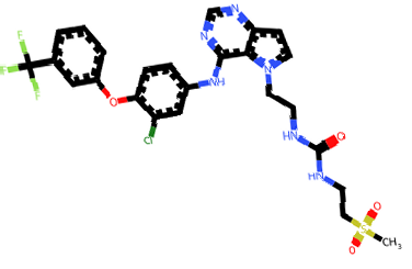 CS(=O)(=O)CCNC(=O)NCCn1ccc2ncnc(Nc3ccc(Oc4cccc(C(F)(F)F)c4)c(Cl)c3)c21